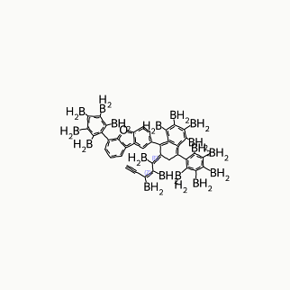 B/C(C#C)=C(B)/C(B)=C1\CC(c2c(B)c(B)c(B)c(B)c2B)=c2c(B)c(B)c(B)c(B)c2=C1c1ccc2oc3c(-c4c(B)c(B)c(B)c(B)c4B)cccc3c2c1